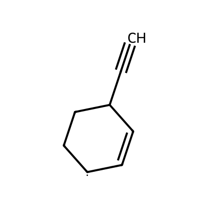 C#CC1C=C[CH]CC1